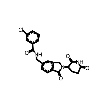 O=C1CCC(N2Cc3cc(CNC(=O)c4cccc(Cl)c4)ccc3C2=O)C(=O)N1